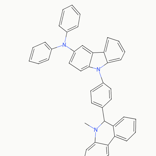 CN1c2ccccc2-c2ccccc2C1c1ccc(-n2c3ccccc3c3cc(N(c4ccccc4)c4ccccc4)ccc32)cc1